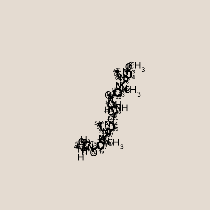 COc1ccc2cc(-c3nc4cc(C(=O)N5CC[C@@H]6OC(COc7ccc8cc(-c9nc%10cc(C(=O)N%11CC[C@H]%12OCCN[C@H]%12C%11)ccc%10n9C)n(CC9CC9)c8n7)CN[C@@H]6C5)ccc4n3C)n(CC3CC3)c2n1